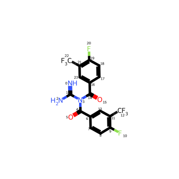 N=C(N)N(C(=O)c1ccc(F)c(C(F)(F)F)c1)C(=O)c1ccc(F)c(C(F)(F)F)c1